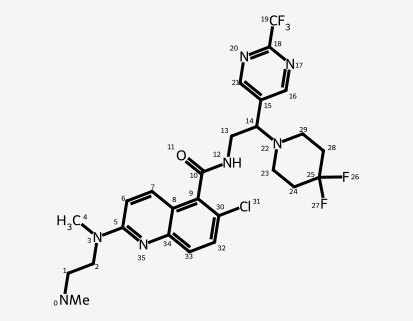 CNCCN(C)c1ccc2c(C(=O)NCC(c3cnc(C(F)(F)F)nc3)N3CCC(F)(F)CC3)c(Cl)ccc2n1